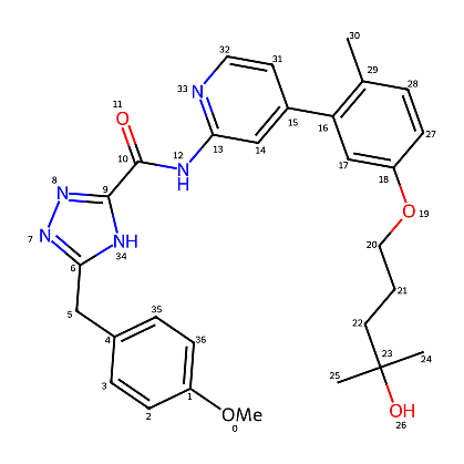 COc1ccc(Cc2nnc(C(=O)Nc3cc(-c4cc(OCCCC(C)(C)O)ccc4C)ccn3)[nH]2)cc1